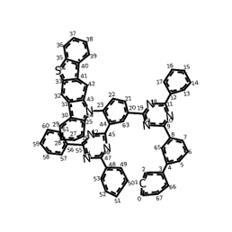 c1ccc(-c2cccc(-c3nc(-c4ccccc4)nc(-c4ccc(-n5c6ccccc6c6cc7sc8ccccc8c7cc65)c(-c5nc(-c6ccccc6)nc(-c6ccccc6)n5)c4)n3)c2)cc1